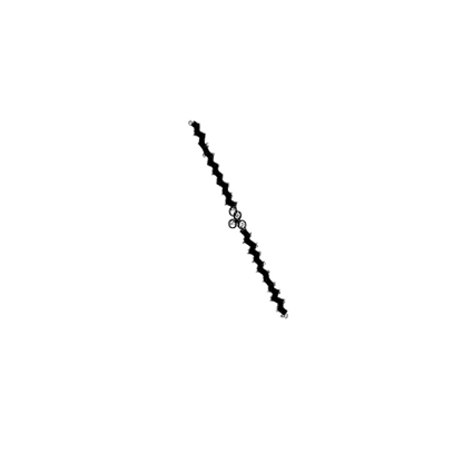 CCCCCCCCCCCCCCCCCCOOC(=O)OCCCCCCCCCCCCCCCCCC